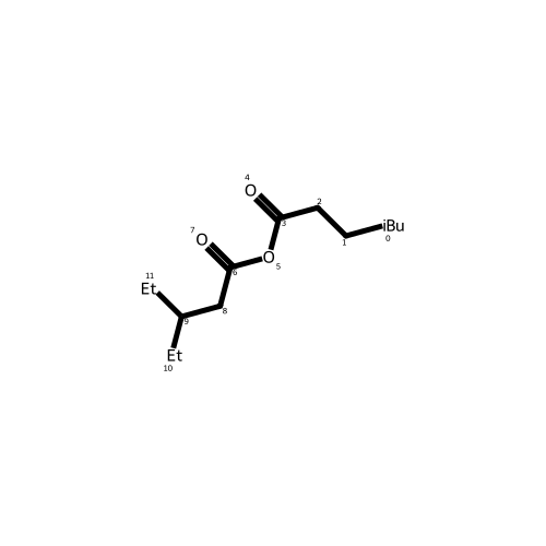 CCC(C)CCC(=O)OC(=O)CC(CC)CC